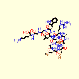 CSCC[C@H](NC(=O)[C@H](C)N)C(=O)N[C@@H](CS)C(=O)NCC(=O)N[C@@H](C)C(=O)N[C@@H](CCCNC(=N)N)C(=O)N[C@@H](CS)C(=O)N[C@@H](CC(C)C)C(=O)N[C@@H](Cc1c[nH]c2ccccc12)C(=O)NCC(=O)NCC(=O)N[C@@H](CCCCN)C(=O)O